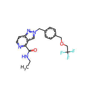 CCNC(=O)c1nccc2nn(Cc3ccc(COCC(F)(F)F)cc3)cc12